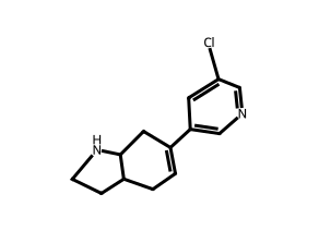 Clc1cncc(C2=CCC3CCNC3C2)c1